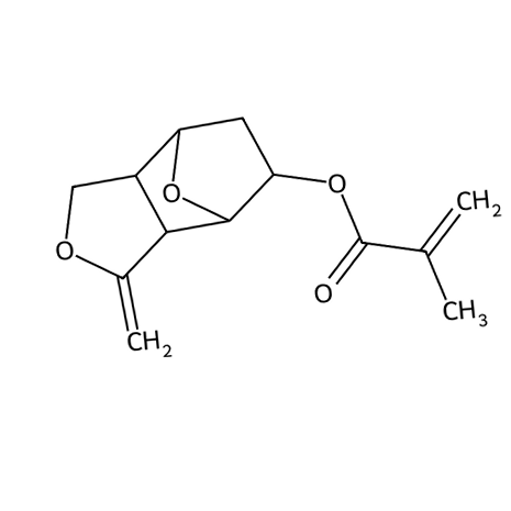 C=C(C)C(=O)OC1CC2OC1C1C(=C)OCC21